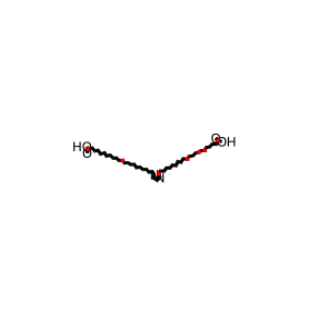 O=C(O)CCCCCCCCCCCCCCCCCCCCCN1CCN=C1CCCCCCCCCCCCCCCCCCCCC(=O)O